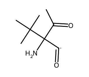 CC(=O)C(N)([C]=O)C(C)(C)C